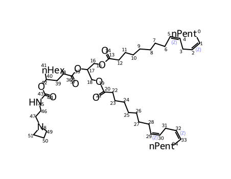 CCCCC/C=C\C/C=C\CCCCCCCC(=O)OCC(COC(=O)CCCCCCC/C=C\C/C=C\CCCCC)OC(=O)CCC(CCCCCC)OC(=O)NCCN1CCC1